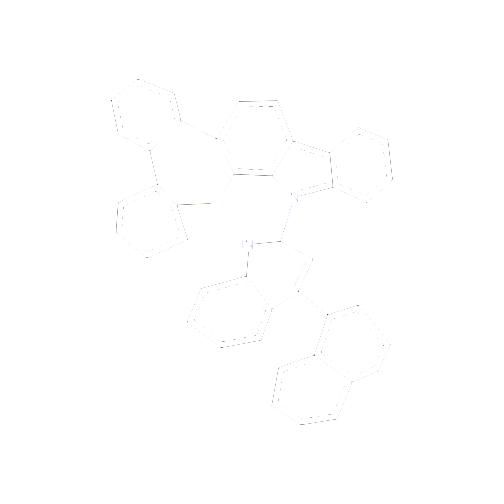 C1=C(c2cccc3ccccc23)c2ccccc2NC1n1c2ccccc2c2ccc3c(c21)Sc1ccccc1-c1ccccc1-3